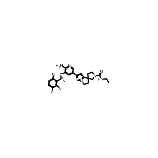 CCNC(=O)N1CCC2(CCn3nc(-c4cnc(N)c(O[C@H](C)c5c(Cl)ccc(F)c5Cl)c4)cc32)C1